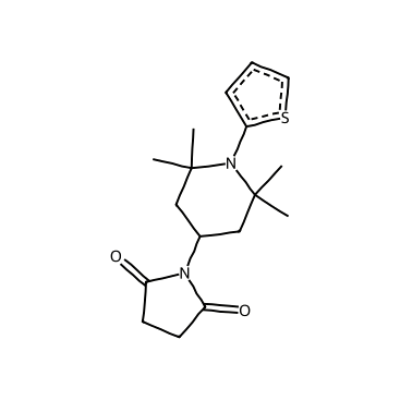 CC1(C)CC(N2C(=O)CCC2=O)CC(C)(C)N1c1cccs1